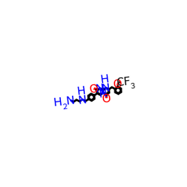 NCCCNCc1ccc(-c2cn3c(=O)cc(Cc4ccccc4OC(F)(F)F)[nH]c3nc2=O)cc1